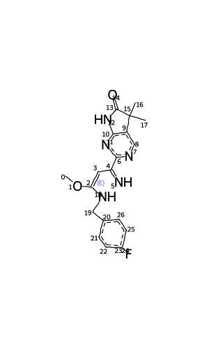 CO/C(=C/C(=N)c1ncc2c(n1)NC(=O)C2(C)C)NCc1ccc(F)cc1